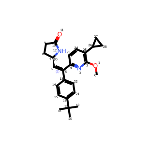 COc1nc(/C(=C\[C@H]2CCC(=O)N2)c2ccc(C(C)(C)C)cc2)ccc1C1CC1